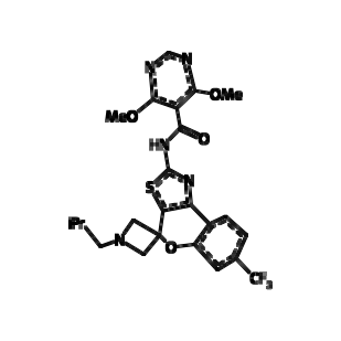 COc1ncnc(OC)c1C(=O)Nc1nc2c(s1)C1(CN(CC(C)C)C1)Oc1cc(C(F)(F)F)ccc1-2